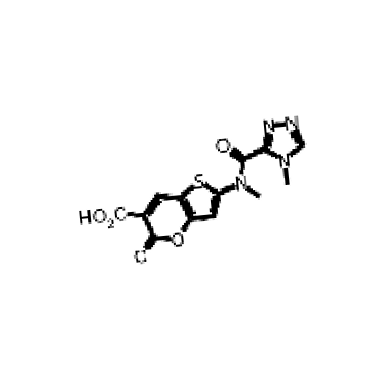 CN(C(=O)c1nncn1C)c1cc2oc(=O)c(C(=O)O)cc2s1